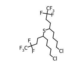 FC(F)(F)C(F)(F)CCC(CCCCCl)SC(CCCCCl)CCC(F)(F)C(F)(F)F